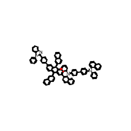 c1ccc(N(c2ccc(-c3ccc(N(c4ccccc4)c4c(-c5ccc6c(-c7ccc8ccccc8c7)c7cc(-c8ccc(-c9nc%10ccccc%10n9-c9ccccc9)cc8)ccc7c(-c7ccc8ccccc8c7)c6c5)ccc5ccccc45)cc3)cc2)c2cccc3ccccc23)cc1